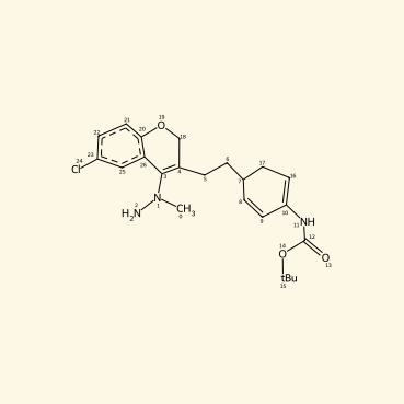 CN(N)C1=C(CCC2C=CC(NC(=O)OC(C)(C)C)=CC2)COc2ccc(Cl)cc21